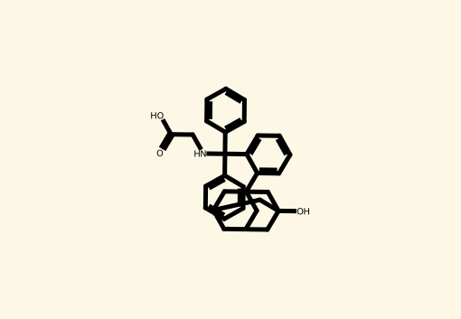 O=C(O)CNC(c1ccccc1)(c1ccccc1)c1ccccc1C12CC3CC(CC(O)(C3)C1)C2